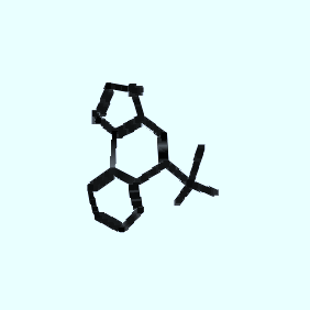 CC(C)(C)c1cc2[se]cnc2c2ccccc12